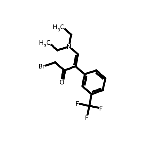 CCN(C=C(C(=O)CBr)c1cccc(C(F)(F)F)c1)CC